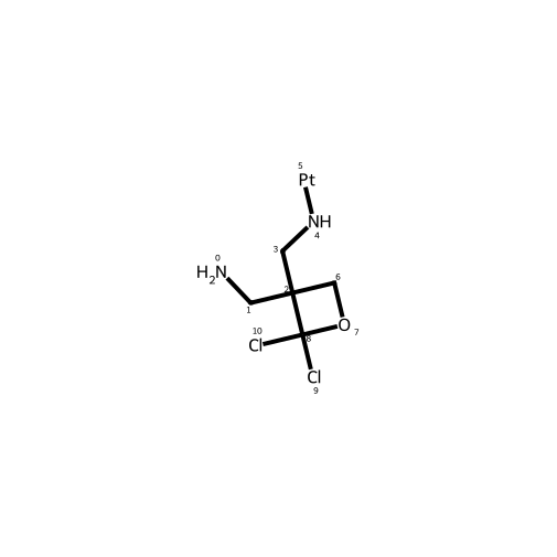 NCC1(C[NH][Pt])COC1(Cl)Cl